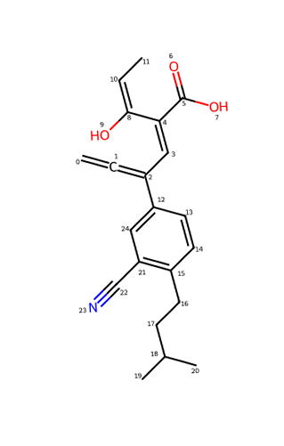 C=C=C(/C=C(C(=O)O)\C(O)=C/C)c1ccc(CCC(C)C)c(C#N)c1